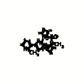 Cc1ncccc1-c1ccc2c(c1)-n1cccc1C(=O)N(C)C21CCC1